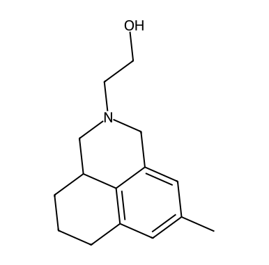 Cc1cc2c3c(c1)CN(CCO)CC3CCC2